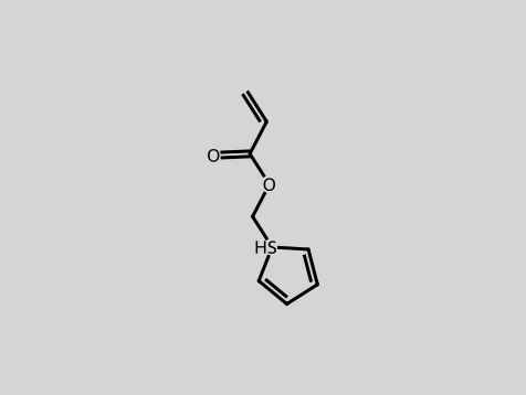 C=CC(=O)OC[SH]1C=CC=C1